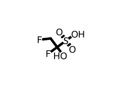 O=S(=O)(O)C(O)(F)CF